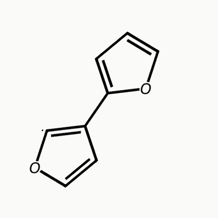 [c]1occc1-c1ccco1